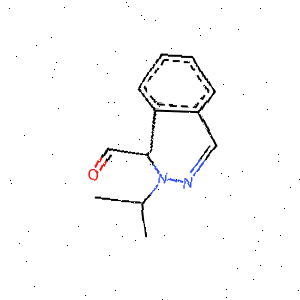 CC(C)N1N=Cc2ccccc2C1C=O